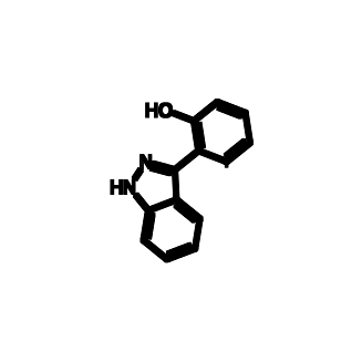 Oc1ccc[c]c1-c1n[nH]c2ccccc12